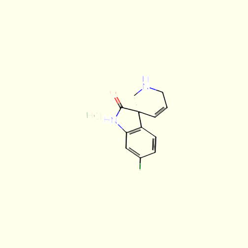 Cl.O=C1Nc2cc(F)ccc2[C@]12C=CCNC2